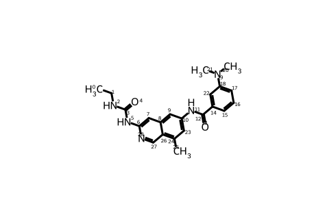 CCNC(=O)Nc1cc2cc(NC(=O)c3cccc(N(C)C)c3)cc(C)c2cn1